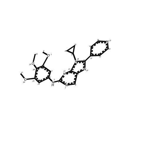 COc1cc(Nc2ncc3nc(-c4ccncc4)n(C4CC4)c3n2)cc(OC)c1OC